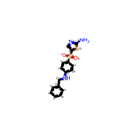 Nc1ncc(S(=O)(=O)c2ccc(NCc3ccccc3)cc2)s1